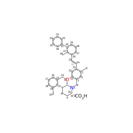 Cc1cc(CN2CCCC[C@H]2C(=O)O)c(OCc2cccc(I)c2)cc1/C=C/c1cccc(-c2ccccc2)c1C